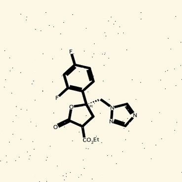 CCOC(=O)C1C[C@](Cn2cncn2)(c2ccc(F)cc2F)OC1=O